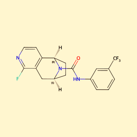 O=C(Nc1cccc(C(F)(F)F)c1)N1[C@H]2CC[C@@H]1c1ccnc(F)c1C2